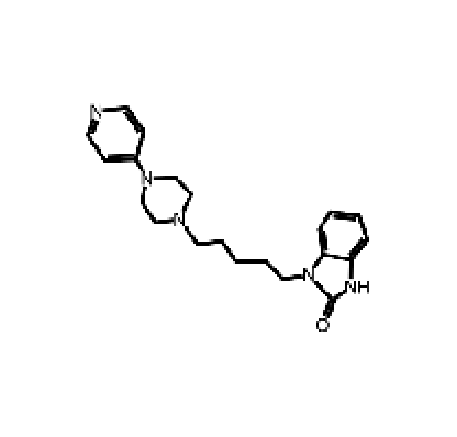 O=c1[nH]c2ccccc2n1CCCCCN1CCN(c2ccncc2)CC1